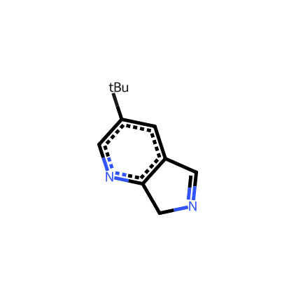 CC(C)(C)c1cnc2c(c1)C=NC2